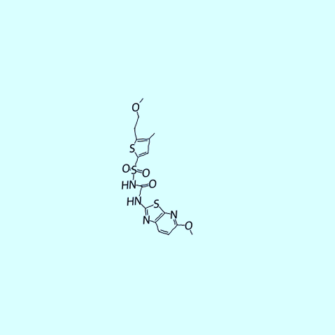 COCCc1sc(S(=O)(=O)NC(=O)Nc2nc3ccc(OC)nc3s2)cc1C